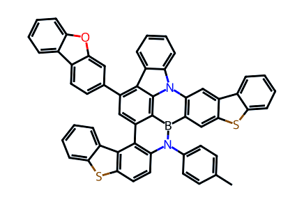 Cc1ccc(N2B3c4cc5sc6ccccc6c5cc4-n4c5ccccc5c5c(-c6ccc7c(c6)oc6ccccc67)cc(c3c54)-c3c2ccc2sc4ccccc4c32)cc1